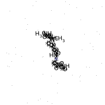 CCc1nc(-c2cccc3cc(-c4ccc(C(=O)NC/C=C/c5cccc6c5CN(C5CCC(=O)NC5=O)C6=O)nc4)ncc23)c2n1CCN(C(=O)NC)C2